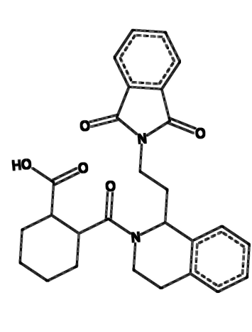 O=C(O)C1CCCCC1C(=O)N1CCc2ccccc2C1CCN1C(=O)c2ccccc2C1=O